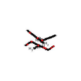 CCCCCCCC/C=C\CCCCCCCCNCCN(CCCCCCCC/C=C\CCCCCCCC)CCNCCN.CCCCCCCCCCCCCCCCCC(=O)NCCN(CCN)C(=O)CCCCCCCCCCCCCCCCC